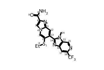 CCSc1cn2cc(C(N)=O)nc2cc1-c1nc2cc(C(F)(F)F)ncc2n1C